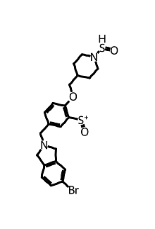 O=[S+]c1cc(CN2Cc3ccc(Br)cc3C2)ccc1OCC1CCN([SH]=O)CC1